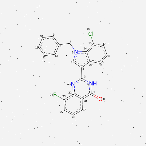 O=c1[nH]c(-c2cn(Cc3ccccc3)c3c(Cl)cccc23)nc2c(F)cccc12